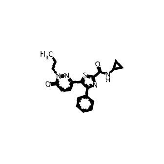 CCCn1nc(-c2sc(C(=O)NC3CC3)nc2-c2ccccc2)ccc1=O